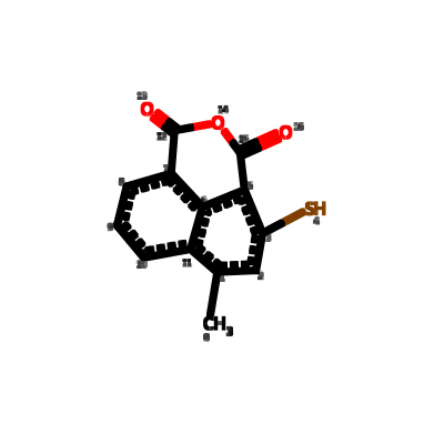 Cc1cc(S)c2c3c(cccc13)C(=O)OC2=O